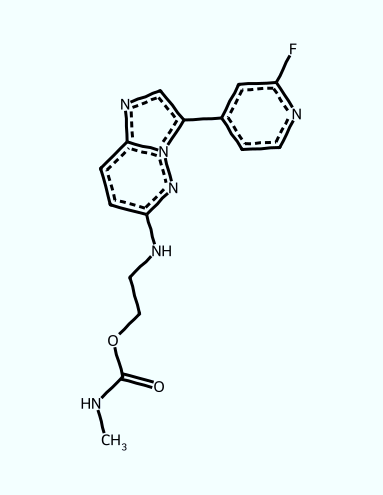 CNC(=O)OCCNc1ccc2ncc(-c3ccnc(F)c3)n2n1